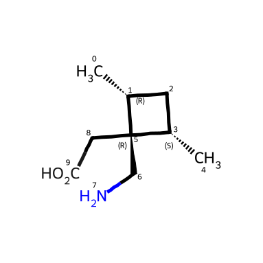 C[C@@H]1C[C@H](C)[C@]1(CN)CC(=O)O